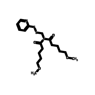 COCCCCC(=O)N(CSSc1ccccn1)C(=O)CCCCOC